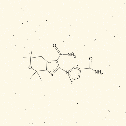 CC1(C)Cc2c(sc(-n3cc(C(N)=O)cn3)c2C(N)=O)C(C)(C)O1